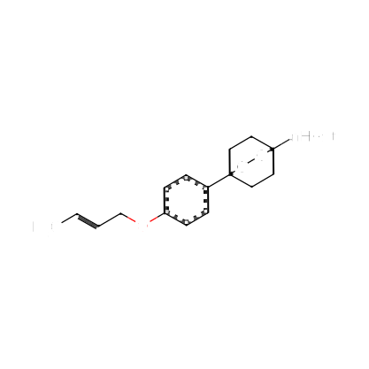 CC=CCOc1ccc(C23CCC(CCCCCCC)(CC2)CC3)cc1